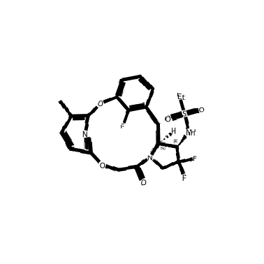 CCS(=O)(=O)N[C@@H]1[C@@H]2Cc3cccc(c3F)Oc3nc(ccc3C)OCC(=O)N2CC1(F)F